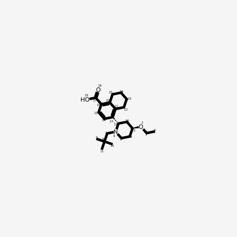 CCO[C@H]1CCN(CC(C)(C)C)[C@H](c2ccc(C(=O)O)c3c2CCCC3)C1